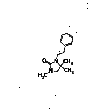 CN1CC(C)(C)N(CCc2ccccc2)C1=O